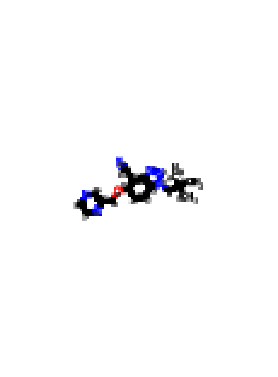 CC(C)(C)Cn1nnc2c(C#N)c(OCc3cnccn3)ccc21